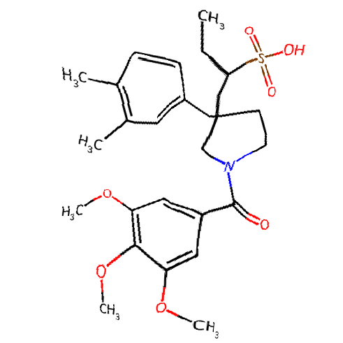 CCC(C1(c2ccc(C)c(C)c2)CCN(C(=O)c2cc(OC)c(OC)c(OC)c2)C1)S(=O)(=O)O